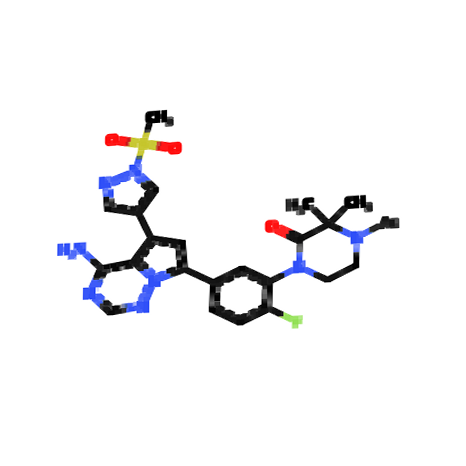 CC(=O)N1CCN(c2cc(-c3cc(-c4cnn(S(C)(=O)=O)c4)c4c(N)ncnn34)ccc2F)C(=O)C1(C)C